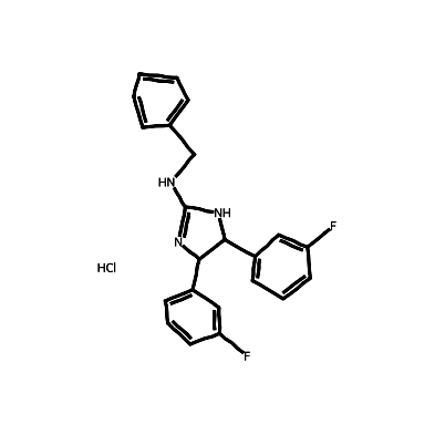 Cl.Fc1cccc(C2N=C(NCc3ccccc3)NC2c2cccc(F)c2)c1